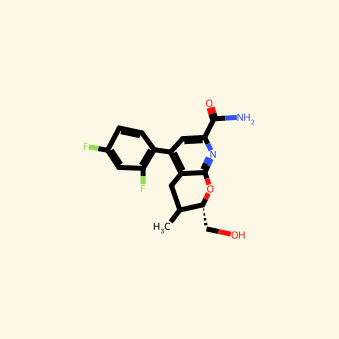 CC1Cc2c(-c3ccc(F)cc3F)cc(C(N)=O)nc2O[C@@H]1CO